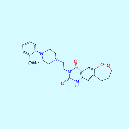 COc1ccccc1N1CCN(CCn2c(=O)[nH]c3cc4c(cc3c2=O)OOCCC4)CC1